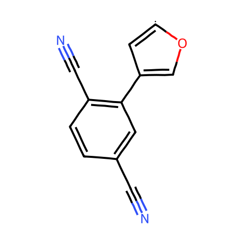 N#Cc1ccc(C#N)c(-c2c[c]oc2)c1